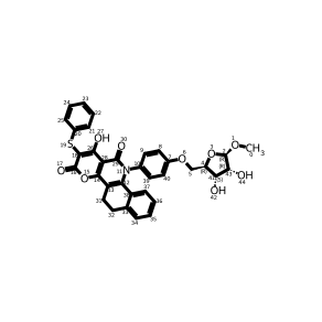 CO[C@@H]1O[C@H](COc2ccc(-n3c4c(c5oc(=O)c(Sc6ccccc6)c(O)c5c3=O)CCc3ccccc3-4)cc2)[C@@H](O)[C@H]1O